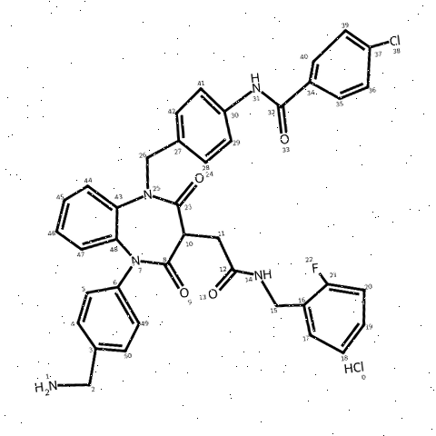 Cl.NCc1ccc(N2C(=O)C(CC(=O)NCc3ccccc3F)C(=O)N(Cc3ccc(NC(=O)c4ccc(Cl)cc4)cc3)c3ccccc32)cc1